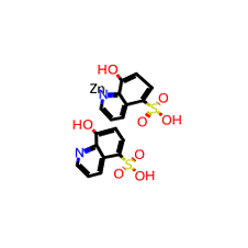 O=S(=O)(O)c1ccc(O)c2ncccc12.O=S(=O)(O)c1ccc(O)c2ncccc12.[Zn]